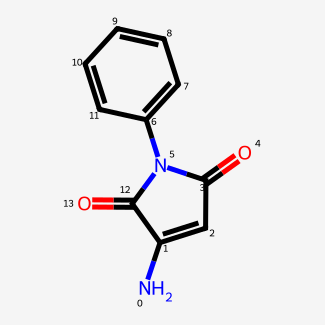 NC1=CC(=O)N(c2ccccc2)C1=O